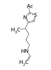 C=CNCCCC(C)c1csc(C(C)=O)n1